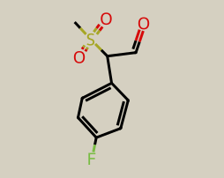 CS(=O)(=O)C(C=O)c1ccc(F)cc1